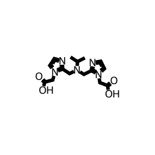 CC(C)N(Cc1nccn1CC(=O)O)Cc1nccn1CC(=O)O